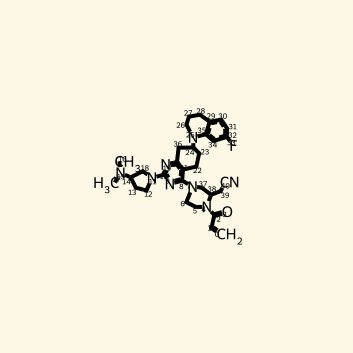 C=CC(=O)N1CCN(c2nc(N3CCC(N(C)C)C3)nc3c2CCC(N2CCCc4ccc(F)cc42)C3)CC1CC#N